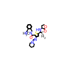 C=C(NC1CCOC1=O)c1cc(/N=C/N2CCCCC2)c(C(=O)N(C)Cc2ccccc2C#N)s1